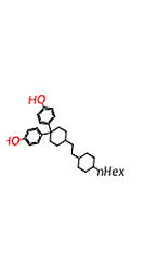 CCCCCCC1CCC(CCC2CCC(c3ccc(O)cc3)(c3ccc(O)cc3)CC2)CC1